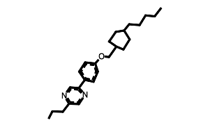 CCCCCC1CCC(COc2ccc(-c3cnc(CCC)cn3)cc2)CC1